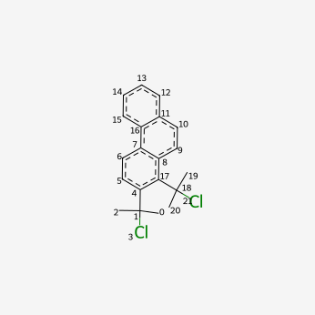 CC(C)(Cl)c1ccc2c(ccc3ccccc32)c1C(C)(C)Cl